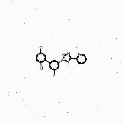 Fc1cc(-c2cc(Cl)ccc2Cl)cc(-n2nnc(-c3ccccn3)n2)c1